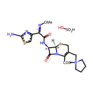 CO/N=C(\C(=O)N[C@@H]1C(=O)N2C(C(=O)[O-])=C(C[N+]3(C)CCCC3)CS[C@H]12)c1csc(N)n1.O=S(=O)(O)O